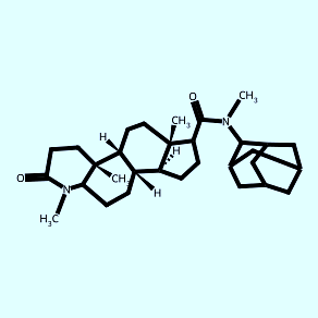 CN(C(=O)C1CC[C@H]2[C@@H]3CCC4N(C)C(=O)CC[C@]4(C)[C@@H]3CC[C@]12C)C1C2CC3CC(C2)CC1C3